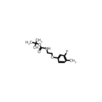 Cc1ccc(OCCNC(=O)OC(C)(C)C)cc1F